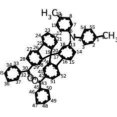 Cc1ccc(N(c2ccc(C)cc2)c2ccc3c(c2)C2(c4ccccc4-c4ccc(C(=O)c5ccccc5)cc42)c2cc(C(=O)c4ccccc4)ccc2-3)cc1